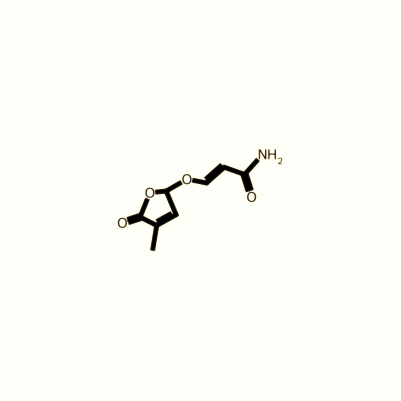 CC1=CC(O/C=C/C(N)=O)OC1=O